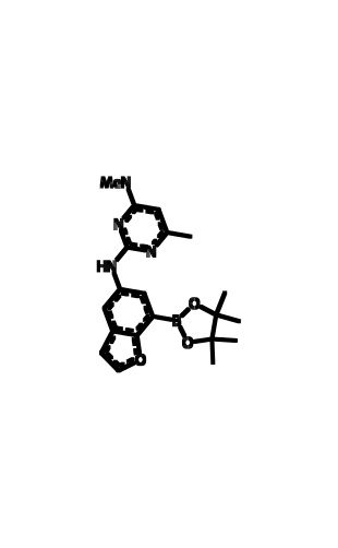 CNc1cc(C)nc(Nc2cc(B3OC(C)(C)C(C)(C)O3)c3occc3c2)n1